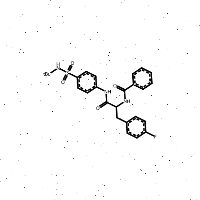 CC(C)(C)NS(=O)(=O)c1ccc(NC(=O)C(Cc2ccc(F)cc2)NC(=O)c2ccccc2)cc1